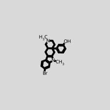 CN1CCC2(c3cccc(O)c3)Cc3c(c4ccc(Br)cc4n3C)CC2C1